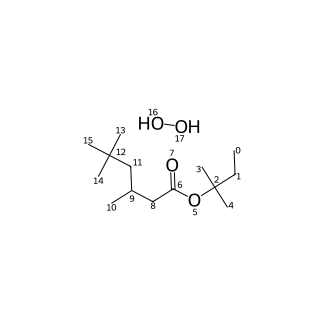 CCC(C)(C)OC(=O)CC(C)CC(C)(C)C.OO